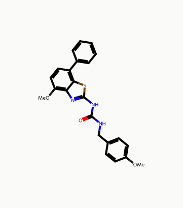 COc1ccc(CNC(=O)Nc2nc3c(OC)ccc(-c4ccccc4)c3s2)cc1